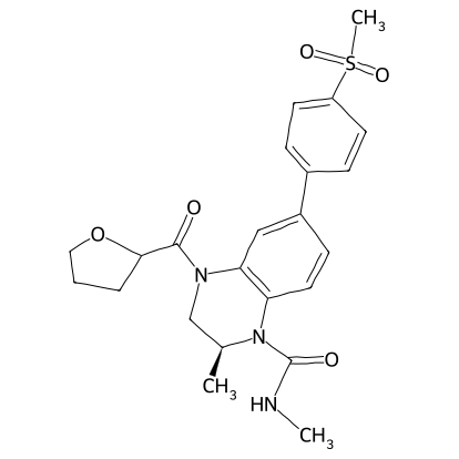 CNC(=O)N1c2ccc(-c3ccc(S(C)(=O)=O)cc3)cc2N(C(=O)C2CCCO2)C[C@@H]1C